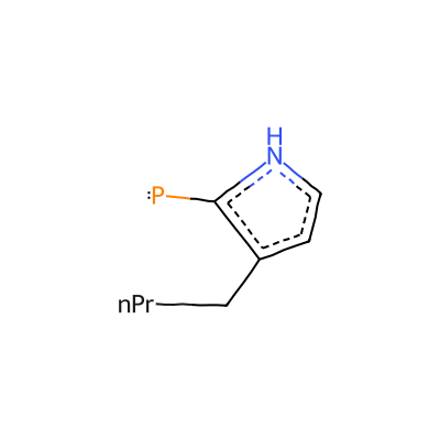 CCCCc1cc[nH]c1[P]